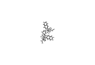 C=CC(=O)OC(CC)(Oc1cccc(OC(CC)(OC(=O)C=C)Oc2ccc3ccccc3c2)c1)Oc1ccc2ccccc2c1